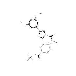 COc1cc(OC)cc(-c2cn(C(=O)N(C)C3CCN(C(=O)OC(C)(C)C)CC3)cn2)c1